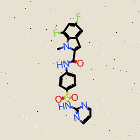 Cn1c(C(=O)Nc2ccc(S(=O)(=O)Nc3ncccn3)cc2)cc2cc(F)cc(F)c21